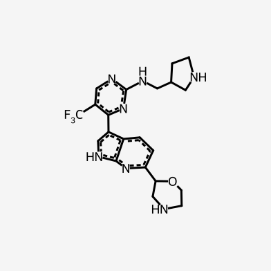 FC(F)(F)c1cnc(NCC2CCNC2)nc1-c1c[nH]c2nc(C3CNCCO3)ccc12